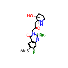 Br.Br.CSc1cc2c(=O)n(CC(=O)C[C@@H]3NCCC[C@H]3O)cnc2cc1F